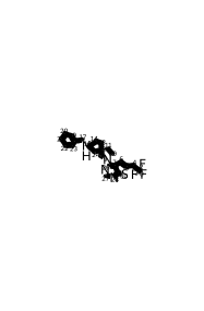 FC(F)(F)Cc1cc2c(N3CC[C@@]4(CC[C@@H](NCc5ccccc5)C4)C3)ncnc2s1